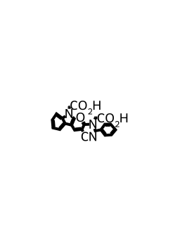 N#CC(=Cc1cn(CC(=O)O)c2ccccc12)C(=O)N(CC(=O)O)Cc1ccccc1